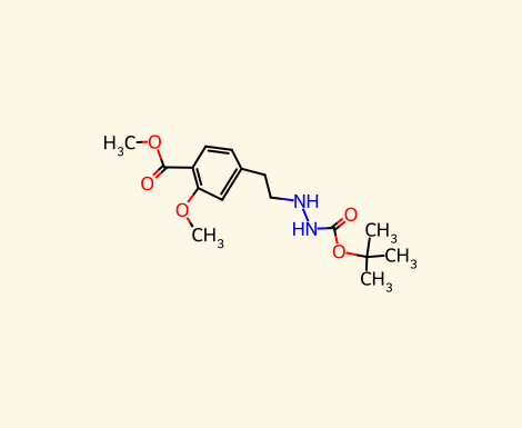 COC(=O)c1ccc(CCNNC(=O)OC(C)(C)C)cc1OC